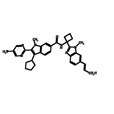 Bc1cnc(-c2c(C3CCCC3)c3ccc(C(=O)NC4(c5nc6ccc(/C=C/C(=O)O)cc6n5C)CCC4)cc3n2C)nc1